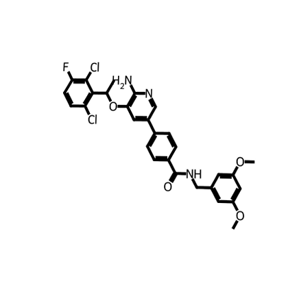 COc1cc(CNC(=O)c2ccc(-c3cnc(N)c(OC(C)c4c(Cl)ccc(F)c4Cl)c3)cc2)cc(OC)c1